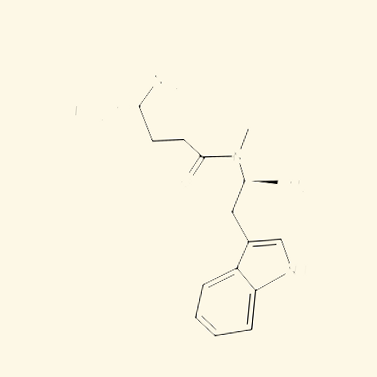 CCOC(=O)[C@H](N)CCC(=O)N(C)[C@H](Cc1c[nH]c2ccccc12)C(=O)O